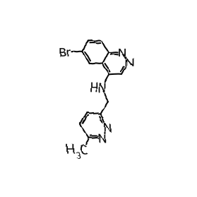 Cc1ccc(CNc2cnnc3ccc(Br)cc23)nn1